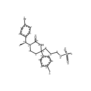 C[C@@H](c1ccc(Br)cc1)N1CCC(CCCOS(C)(=O)=O)(c2ccc(F)cc2)NC1=O